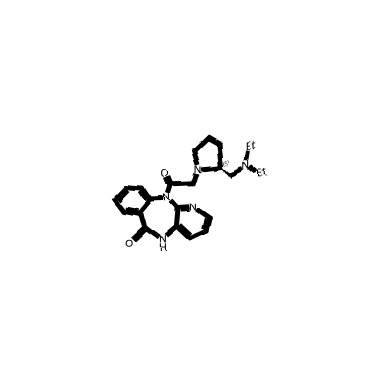 CCN(CC)C[C@@H]1CCCN1CC(=O)N1c2ccccc2C(=O)Nc2cccnc21